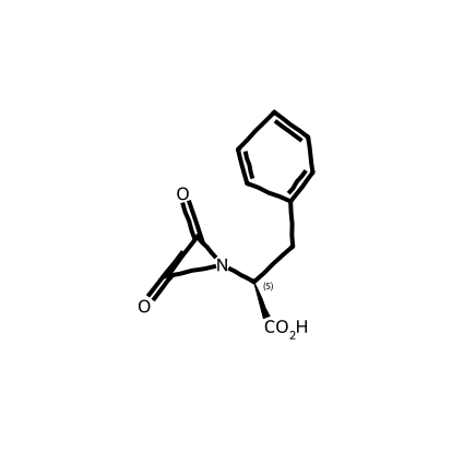 O=C(O)[C@H](Cc1ccccc1)n1c(=O)c1=O